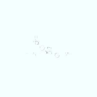 COc1cccc(C(CO)NC(=O)Nc2ccc(-c3cn[nH]c3)cc2OC2CCN(C)C2)c1